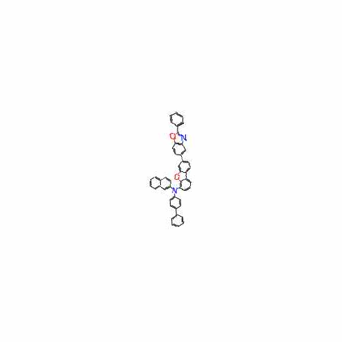 c1ccc(-c2ccc(N(c3ccc4ccccc4c3)c3cccc4c3oc3cc(-c5ccc6oc(-c7ccccc7)nc6c5)ccc34)cc2)cc1